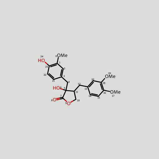 COc1cc(CC2(O)C(=O)OCC2Cc2ccc(OC)c(OC)c2)ccc1O